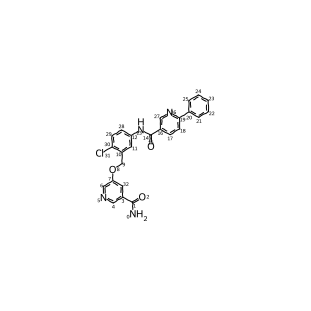 NC(=O)c1cncc(OCc2cc(NC(=O)c3ccc(-c4ccccc4)nc3)ccc2Cl)c1